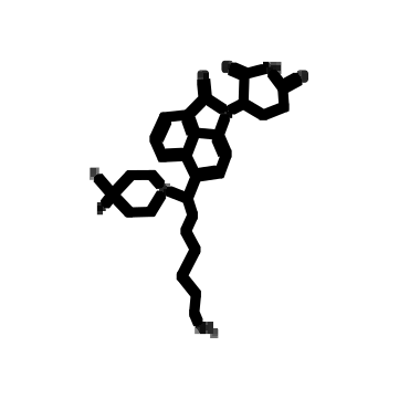 NCCCCCCC(c1ccc2c3c(cccc13)C(=O)N2C1CCC(=O)NC1=O)N1CCC(F)(F)CC1